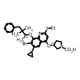 CCSc1cc(O[C@H]2CCN(C(=O)O)C2)c2cc(C3CC3)c(Br)c(O[C@@H](C)C(C)(C)Cc3ccccc3)c2n1